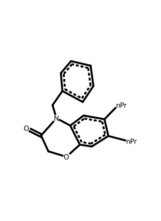 CCCc1cc2c(cc1CCC)N(Cc1ccccc1)C(=O)CO2